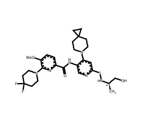 COc1ccc(C(=O)Nc2cnc(SN[C@H](C)CO)cc2N2CCC3(CC2)CC3)nc1N1CCC(F)(F)CC1